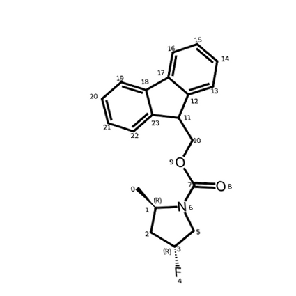 C[C@@H]1C[C@@H](F)CN1C(=O)OCC1c2ccccc2-c2ccccc21